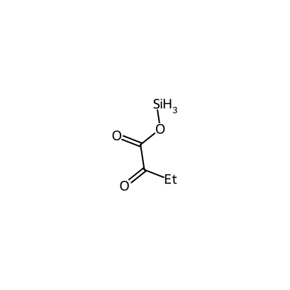 CCC(=O)C(=O)O[SiH3]